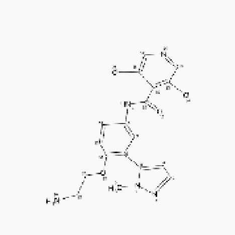 Cn1nccc1-c1cc(NC(=O)c2c(Cl)cncc2Cl)ccc1OCCN